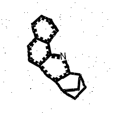 c1ccc2c(c1)ccc1cc3c(nc12)C1CCC3C1